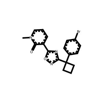 Cn1cccc(-c2nc(C3(c4ccc(Br)cc4)CCC3)no2)c1=O